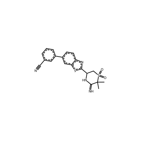 CC1(C)C(=N)NC(c2nc3ccc(-c4cccc(C#N)c4)cc3s2)CS1(=O)=O